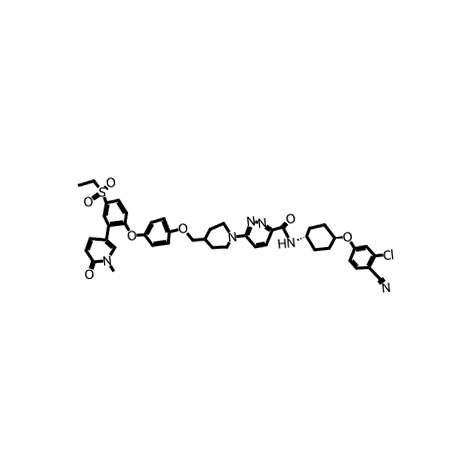 CCS(=O)(=O)c1ccc(Oc2ccc(OCC3CCN(c4ccc(C(=O)N[C@H]5CC[C@H](Oc6ccc(C#N)c(Cl)c6)CC5)nn4)CC3)cc2)c(-c2ccc(=O)n(C)c2)c1